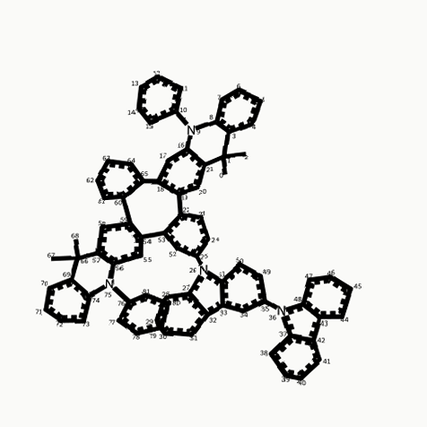 CC1(C)c2ccccc2N(c2ccccc2)c2cc3c(cc21)-c1ccc(-n2c4ccccc4c4cc(-n5c6ccccc6c6ccccc65)ccc42)cc1-c1cc2c(cc1-c1ccccc1-3)C(C)(C)c1ccccc1N2c1ccccc1